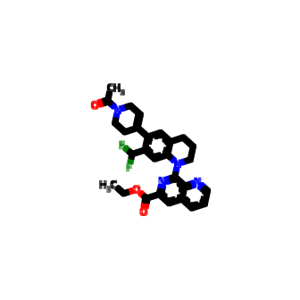 CCOC(=O)c1cc2cccnc2c(N2CCCc3cc(C4=CCN(C(C)=O)CC4)c(C(F)F)cc32)n1